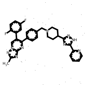 Cc1nc2nc(-c3ccc(CN4CCC(c5n[nH]c(-c6ccccn6)n5)CC4)cc3)c(-c3cc(F)ccc3F)cn2n1